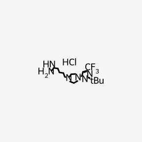 CC(C)(C)c1nc(N2CCCN(CCCCC(=N)N)CC2)cc(C(F)(F)F)n1.Cl